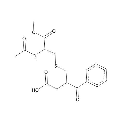 COC(=O)[C@H](CSCC(CC(=O)O)C(=O)c1ccccc1)NC(C)=O